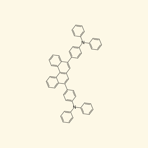 c1ccc(N(c2ccccc2)c2ccc(-c3cc4cc(-c5ccc(N(c6ccccc6)c6ccccc6)cc5)c5ccccc5c4c4ccccc34)cc2)cc1